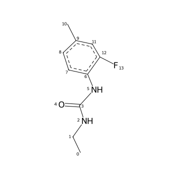 CCNC(=O)Nc1ccc(C)cc1F